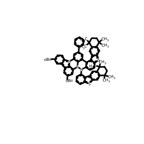 CCCCc1ccc2c(c1)c1cc(CCCC)cc3c1n2-c1cc(-c2ccccc2)cc2c1B3N(c1cccc3sc4cc5c(cc4c13)C(C)(C)CCC5(C)C)c1ccc3sc4cc5c(cc4c3c1-2)C(C)(C)CCC5(C)C